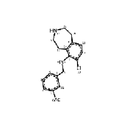 CC(=O)c1cccc(CNc2c(Cl)ccc3c2CCNCC3)c1